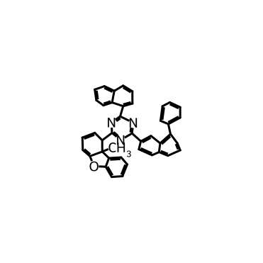 CC12C(=CC=CC1c1nc(-c3ccc4cccc(-c5ccccc5)c4c3)nc(-c3cccc4ccccc34)n1)Oc1ccccc12